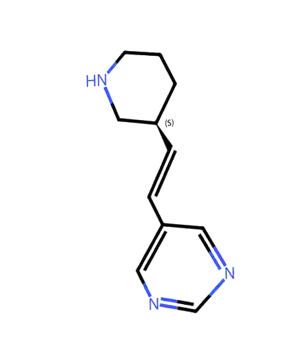 C(=C[C@@H]1CCCNC1)c1cncnc1